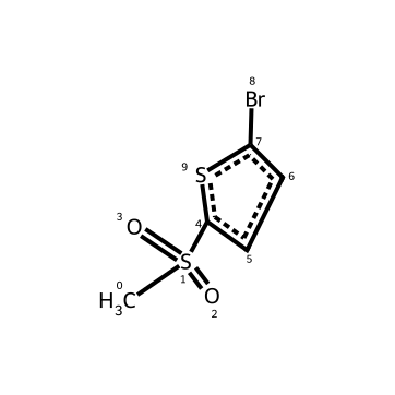 CS(=O)(=O)c1ccc(Br)s1